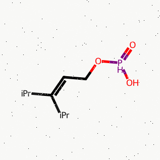 CC(C)C(=CCO[PH](=O)O)C(C)C